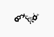 CN(CC(O)CNC(C)(C)CC1Cc2ccccc2C1)S(=O)(=O)c1ccc(Br)c(F)c1